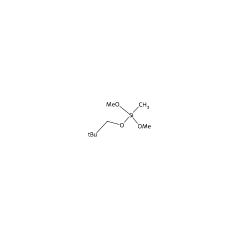 CO[Si](C)(OC)OCC(C)(C)C